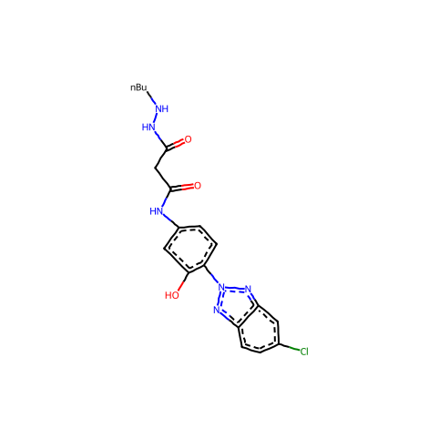 CCCCNNC(=O)CC(=O)Nc1ccc(-n2nc3ccc(Cl)cc3n2)c(O)c1